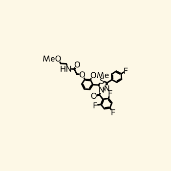 COCCNC(=O)COc1cccc(C2SC(c3ccc(F)cc3)=NN2C(=O)c2c(F)cc(F)cc2F)c1OC